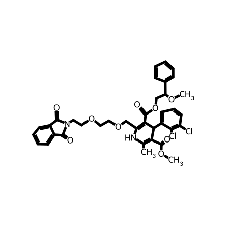 COC(=O)C1=C(C)NC(COCCOCCN2C(=O)c3ccccc3C2=O)=C(C(=O)OCC(OC)c2ccccc2)C1c1cccc(Cl)c1Cl